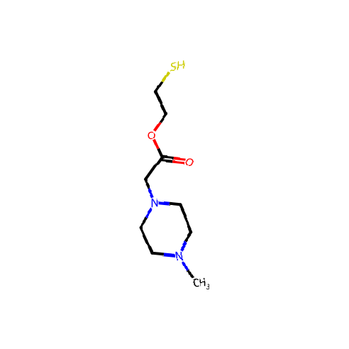 CN1CCN(CC(=O)OCCS)CC1